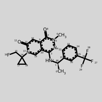 C[C@@H](Nc1nn(C)c(=O)c2cc(=O)n(C3(CF)CC3)cc12)c1cccc(C(F)(F)F)c1